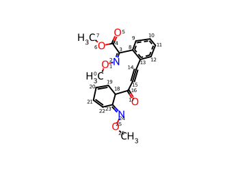 CON=C(C(=O)OC)c1ccccc1C#CC(=O)C1C=CC=CC1=NOC